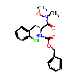 CON(C)C(=O)[C@@H](Cc1ccccc1Cl)NC(=O)OCc1ccccc1